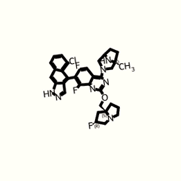 C[C@]12CCC(CN(c3nc(OC[C@@]45CCCN4C[C@H](F)C5)nc4c(F)c(-c5c6cn[nH]c6cc6cccc(Cl)c56)c(F)cc34)C1)N2